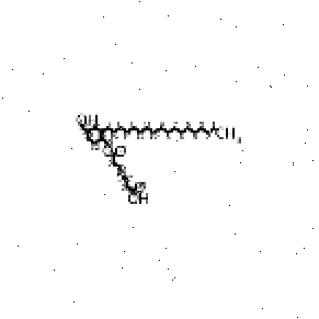 CCCCCCCCCCCCCCCCCCC1=C(COC(=O)CCSCCC(=O)O)CCC(CO)C1